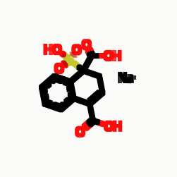 O=C(O)C1=CCC(C(=O)O)(S(=O)(=O)O)c2ccccc21.[Na]